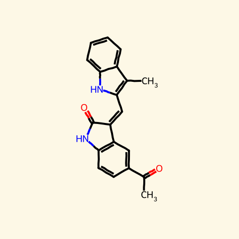 CC(=O)c1ccc2c(c1)/C(=C/c1[nH]c3ccccc3c1C)C(=O)N2